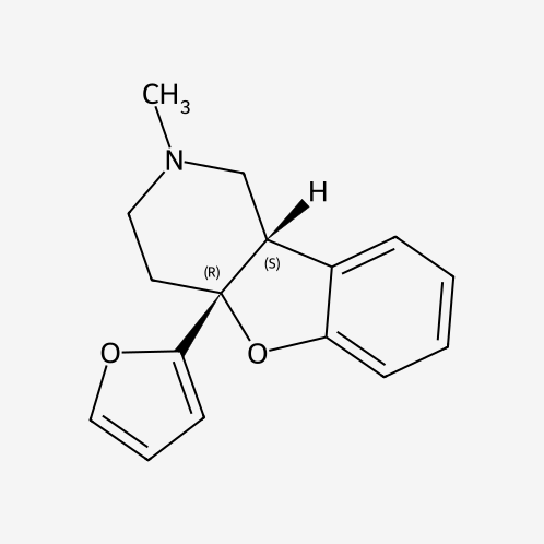 CN1CC[C@@]2(c3ccco3)Oc3ccccc3[C@H]2C1